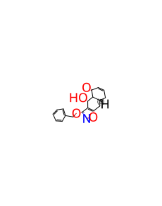 O=C1C=CC[C@H]2Cc3onc(OCc4ccccc4)c3C(O)C12